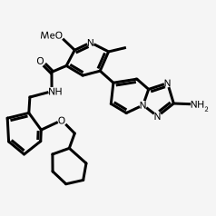 COc1nc(C)c(-c2ccn3nc(N)nc3c2)cc1C(=O)NCc1ccccc1OCC1CCCCC1